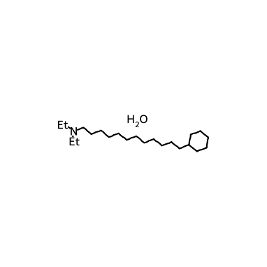 CCN(CC)CCCCCCCCCCCCC1CCCCC1.O